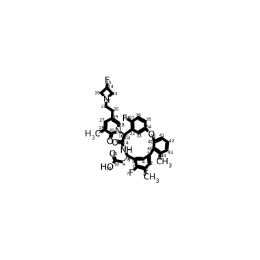 Cc1cc2cc(c1F)[C@H](CC(=O)O)NC(=O)[C@@H](n1cc(CCN3CC(F)C3)cc(C)c1=O)c1cc(ccc1F)Oc1cccc(C)c1-2